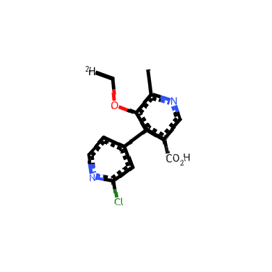 [2H]COc1c(C)ncc(C(=O)O)c1-c1ccnc(Cl)c1